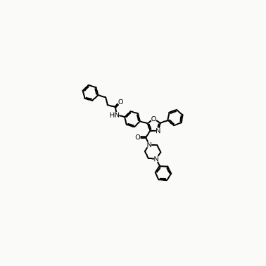 O=C(CCc1ccccc1)Nc1ccc(-c2oc(-c3ccccc3)nc2C(=O)N2CCN(c3ccccc3)CC2)cc1